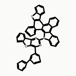 c1ccc(-c2cccc(-c3nc(-n4c5ccccc5c5c6ccccc6c6c7c8ccccc8sc7c7ccccc7c6c54)nc4c3oc3ccccc34)c2)cc1